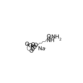 NCC(=O)NCCCCCCOOP1(=O)OOCCCC(=O)O1.[Na]